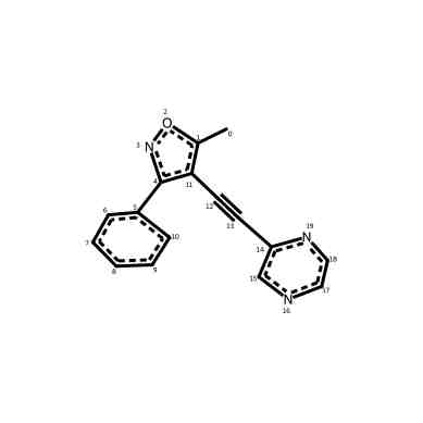 Cc1onc(-c2ccccc2)c1C#Cc1cnccn1